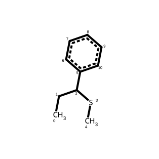 CCC(SC)c1ccccc1